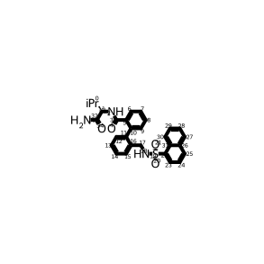 CC(C)[C@H](NC(=O)c1ccccc1-c1ccccc1CNS(=O)(=O)c1cccc2ccccc12)C(N)=O